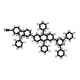 N#Cc1ccc2c3ccc(-c4ccc5c(-c6ccccc6)c6cc(-c7nc(-c8ccccc8)nc(-c8ccccc8)n7)ccc6c(-c6ccccc6)c5c4)cc3n(-c3ccccc3)c2c1